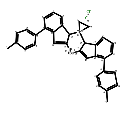 Cc1ccc(-c2cccc3c2C=C(C(C)(C)C)[CH]3[Ti+2]2([CH]3C(C(C)(C)C)=Cc4c(-c5ccc(C)cc5)cccc43)[CH2][CH2]2)cc1.[Cl-].[Cl-]